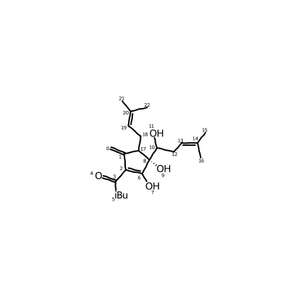 C=C1C(C(=O)C(C)CC)=C(O)[C@](O)(C(O)CC=C(C)C)C1CC=C(C)C